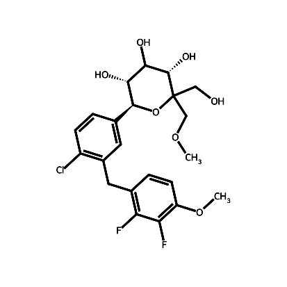 COCC1(CO)O[C@@H](c2ccc(Cl)c(Cc3ccc(OC)c(F)c3F)c2)[C@H](O)C(O)[C@@H]1O